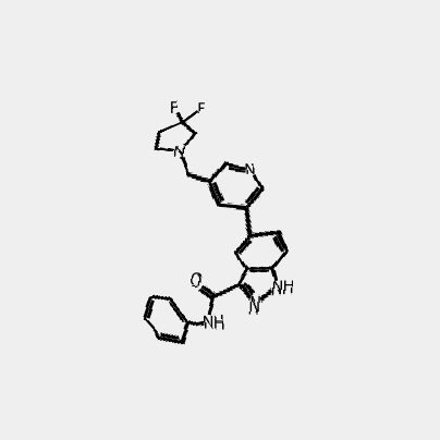 O=C(Nc1ccccc1)c1n[nH]c2ccc(-c3cncc(CN4CCC(F)(F)C4)c3)cc12